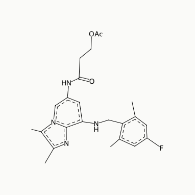 CC(=O)OCCC(=O)Nc1cc(NCc2c(C)cc(F)cc2C)c2nc(C)c(C)n2c1